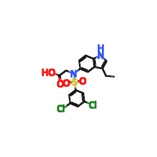 CCc1c[nH]c2ccc(N(CC(=O)O)S(=O)(=O)c3cc(Cl)cc(Cl)c3)cc12